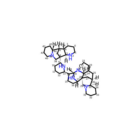 C1CN[C@@H]2[C@@H](C1)[C@@H]1CC2([C@H]2CCC[C@H](C3CC[C@@H]4N[C@H]3N3CCC[C@H]5C[C@@H]6C[C@]4(CN4CCCC[C@H]64)[C@@H]53)N2)CN2CCCC[C@H]12